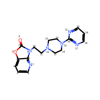 O=c1oc2cccnc2n1CCN1CCN(c2ncccn2)CC1